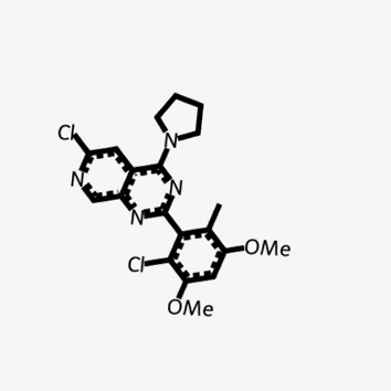 COc1cc(OC)c(Cl)c(-c2nc(N3CCCC3)c3cc(Cl)ncc3n2)c1C